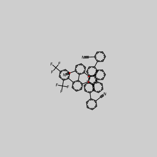 N#Cc1ccccc1-c1ccc2c(c1)c1ccccc1n2-c1cccc(C#N)c1-c1c(-c2ccc(C(F)(F)F)cc2C(F)(F)F)cccc1-n1c2ccccc2c2cc(-c3ccccc3C#N)ccc21